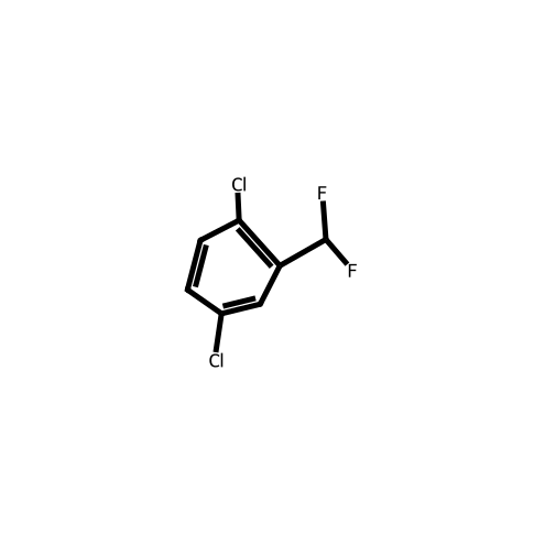 FC(F)c1cc(Cl)ccc1Cl